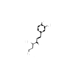 NCCC(O)C(=O)/C=C/c1ccc(Cl)c(Cl)c1